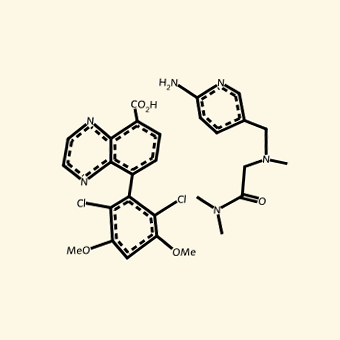 CN(CC(=O)N(C)C)Cc1ccc(N)nc1.COc1cc(OC)c(Cl)c(-c2ccc(C(=O)O)c3nccnc23)c1Cl